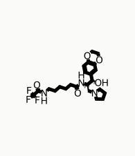 O=C(CCCCCNC(=O)C(F)(F)F)N[C@H](CN1CCCC1)[C@H](O)c1ccc2c(c1)OCCO2